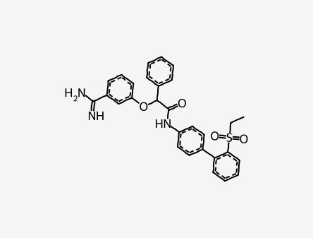 CCS(=O)(=O)c1ccccc1-c1ccc(NC(=O)C(Oc2cccc(C(=N)N)c2)c2ccccc2)cc1